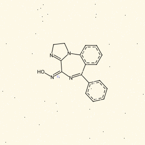 O/N=C1/N=C(c2ccccc2)c2ccccc2N2CCN=C12